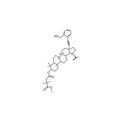 C=C(C)[C@@H]1CCC2(C#Cc3ccccc3CO)CC[C@]3(C)C(CCC4[C@@]5(C)CCC(OC(=O)CC(C)(C)C(=O)OC)C(C)(C)C5CC[C@]43C)C12